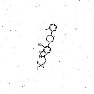 Cc1ccccc1C1CCN(c2ccn3c(CC4CC4(F)F)nnc3c2Br)CC1